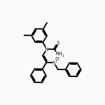 Cc1cc(C)cc(N(C=C(c2ccccc2)[S+]([O-])Cc2ccccc2)C(N)=S)c1